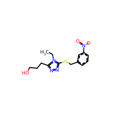 CCn1c(CCCO)nnc1SCc1cccc([N+](=O)[O-])c1